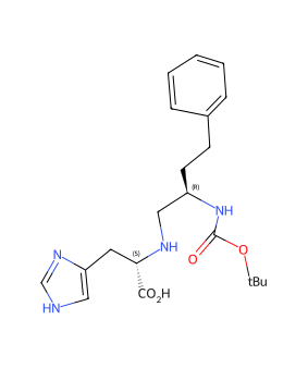 CC(C)(C)OC(=O)N[C@H](CCc1ccccc1)CN[C@@H](Cc1c[nH]cn1)C(=O)O